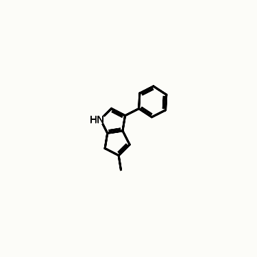 CC1=Cc2c(-c3ccccc3)c[nH]c2C1